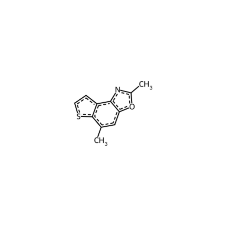 Cc1nc2c(cc(C)c3sccc32)o1